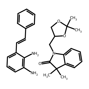 CC1(C)OCC(CN2C(=O)C(C)(C)c3ccccc32)O1.Nc1cccc(C=Cc2ccccc2)c1N